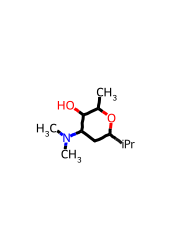 CC(C)C1CC(N(C)C)C(O)C(C)O1